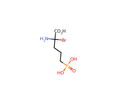 NC(Br)(CCCP(=O)(O)O)C(=O)O